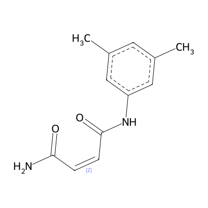 Cc1cc(C)cc(NC(=O)/C=C\C(N)=O)c1